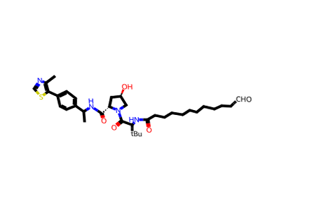 Cc1ncsc1-c1ccc(C(C)NC(=O)[C@@H]2C[C@@H](O)CN2C(=O)C(NC(=O)CCCCCCCCCCC=O)C(C)(C)C)cc1